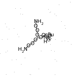 CCCCC(NC(=O)COCC(C)(COCCOCCOCCN)COCCOCCOCCN)C(=O)N1CCCC1C